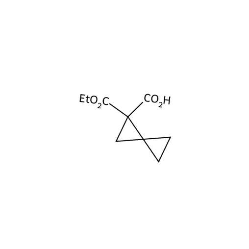 CCOC(=O)C1(C(=O)O)CC12CC2